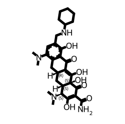 CN(C)c1cc(CNC2CCCCC2)c(O)c2c1C[C@H]1C[C@H]3[C@H](N(C)C)C(O)=C(C(N)=O)C(=O)[C@@]3(O)C(O)=C1C2=O